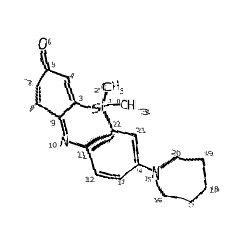 C[Si]1(C)C2=CC(=O)C=CC2=Nc2ccc(N3CCCCC3)cc21